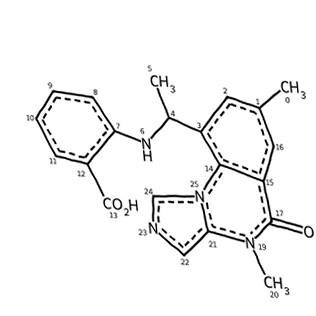 Cc1cc(C(C)Nc2ccccc2C(=O)O)c2c(c1)c(=O)n(C)c1cncn21